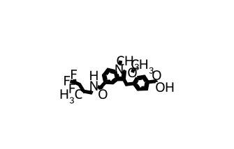 COc1cc(C(=O)O)ccc1Cc1cn(C)c2ccc(C(=O)NCC(C)CC(F)(F)F)cc12